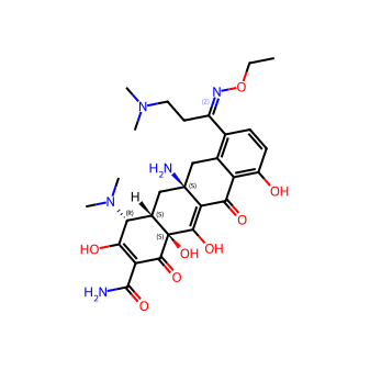 CCO/N=C(/CCN(C)C)c1ccc(O)c2c1C[C@@]1(N)C[C@H]3[C@@H](N(C)C)C(O)=C(C(N)=O)C(=O)[C@@]3(O)C(O)=C1C2=O